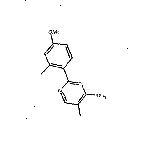 COc1ccc(-c2ncc(C)c(N)n2)c(C)c1